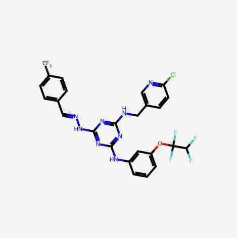 FC(F)C(F)(F)Oc1cccc(Nc2nc(NCc3ccc(Cl)nc3)nc(N/N=C/c3ccc(C(F)(F)F)cc3)n2)c1